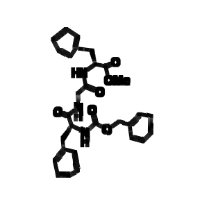 COC(=O)[C@H](Cc1ccccc1)NC(=O)CNC(=O)[C@H](Cc1ccccc1)NC(=O)OCc1ccccc1